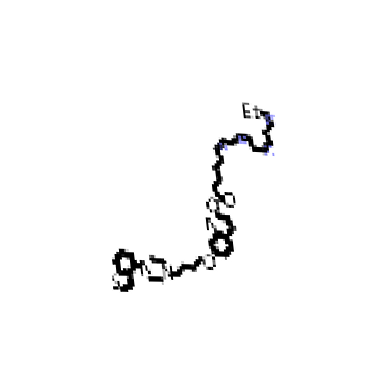 CC/C=C\C/C=C\C/C=C\C/C=C\CCCCC(=O)Oc1ccc2ccc(OCCCCN3CCN(c4cccc5sccc45)CC3)cc2n1